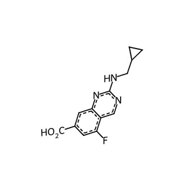 O=C(O)c1cc(F)c2cnc(NCC3CC3)nc2c1